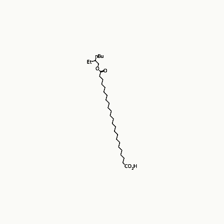 CCCCC(CC)COC(=O)CCCCCCCCCCCCCCCCCCCCCCCC(=O)O